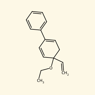 C=CC1(OCC)C=CC(c2ccccc2)=CC1